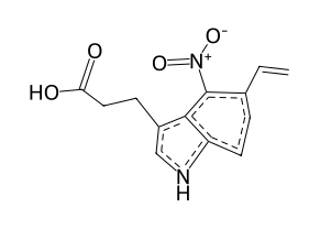 C=Cc1ccc2[nH]cc(CCC(=O)O)c2c1[N+](=O)[O-]